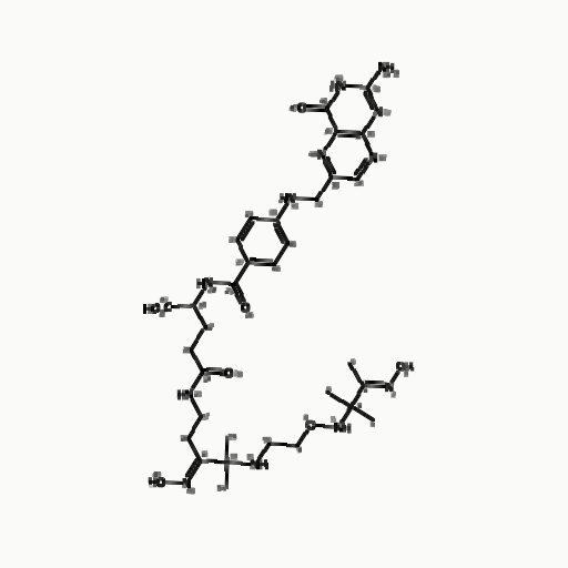 C/C(=N\O)C(C)(C)NOCCNC(C)(C)/C(CCNC(=O)CCC(NC(=O)c1ccc(NCc2cnc3nc(N)[nH]c(=O)c3n2)cc1)C(=O)O)=N/O